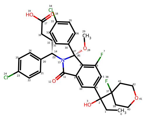 CCC(O)(c1cc(F)c2c(c1)C(=O)N([C@@H](CCC(=O)O)c1ccc(Cl)cc1)[C@@]2(OC)c1ccc(Cl)cc1)C1(F)CCOCC1